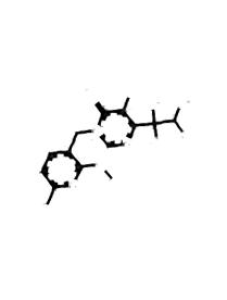 COc1nc(C)ccc1Cn1cnc(C(F)(F)C(F)F)c(F)c1=O